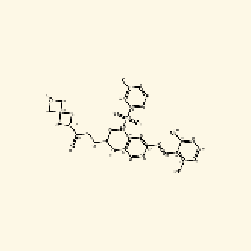 Cc1cccc(S(=O)(=O)N2C[C@H](CCC(=O)N3CC4(COC4)C3)Oc3ccc(/C=C/c4c(F)cccc4Cl)cc32)c1